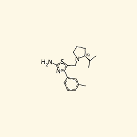 Cc1cccc(-c2nc(N)sc2CN2CCC[C@H]2C(C)C)c1